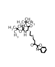 CC(C)(C)OC(=O)N[C@@H](CCSCCC(=O)c1nc2ccccc2o1)C(=O)OC(C)(C)C